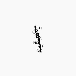 CCC(O)COC(=O)c1ccc2cc(C(=O)OCC(O)COC(=O)/C=C/C(=O)OC)ccc2c1